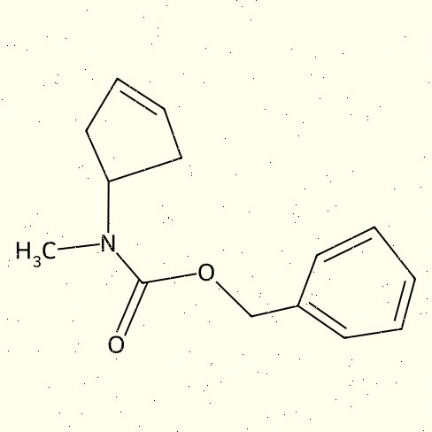 CN(C(=O)OCc1ccccc1)C1CC=CC1